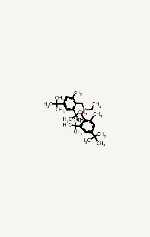 CCP(Cc1c(C)cc(C(C)(C)C)cc1C(C)(C)C)Cc1c(C)cc(C(C)(C)C)cc1C(C)(C)C